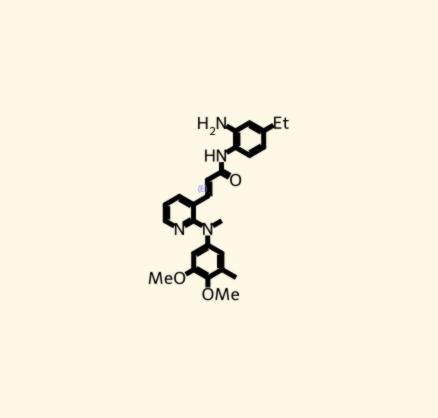 CCc1ccc(NC(=O)/C=C/c2cccnc2N(C)c2cc(C)c(OC)c(OC)c2)c(N)c1